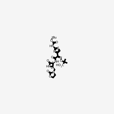 CC(C)(C)OC(=O)Nc1nc(C(=NOC(C)(C)C(=O)O)C(=O)N[C@@H]2C(=O)N[C@@H]2CN2CCOC2=O)cs1